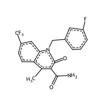 Cc1c(C(N)=O)c(=O)n(Cc2cccc(F)c2)c2cc(C(F)(F)F)ccc12